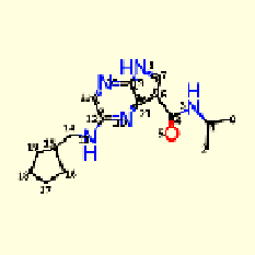 CC(C)NC(=O)c1c[nH]c2ncc(NCC3CCCC3)nc12